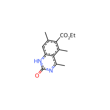 CCOC(=O)c1c(C)cc2[nH]c(=O)nc(C)c2c1C